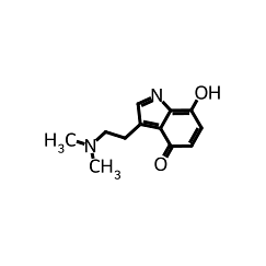 CN(C)CCC1=C2C(=O)C=CC(O)=C2N=C1